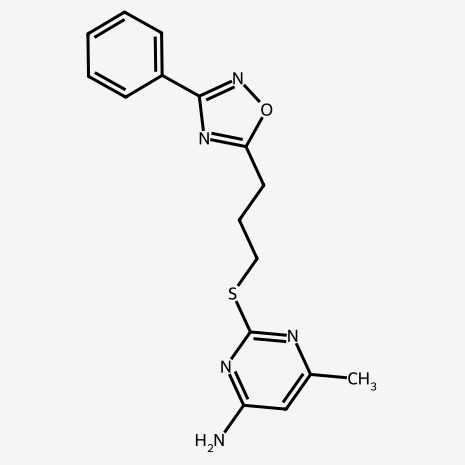 Cc1cc(N)nc(SCCCc2nc(-c3ccccc3)no2)n1